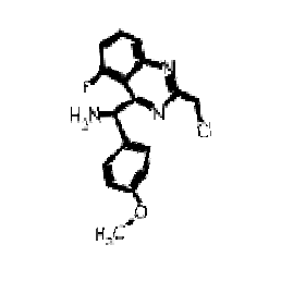 COc1ccc(C(N)c2nc(CCl)nc3cccc(F)c23)cc1